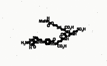 CNNC(=O)OCCSSC[C@H](NC(=O)[C@H](CC(=O)NCCS(=O)(=O)O)NC(=O)CC[C@H](NC(=O)c1ccc(NCc2cnc3nc(N)[nH]c(=O)c3n2)cc1)C(=O)O)C(=O)O